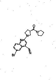 N#Cc1cc(N2CC[C@@H](C(=O)N3CCCC3)C2)nc2ccc(Br)cc12